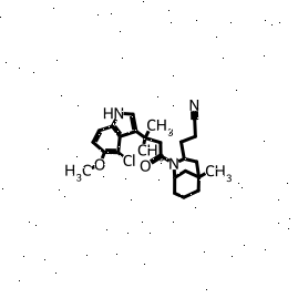 COc1ccc2[nH]cc(C(C)(C)CC(=O)N3C(CCC#N)CC4(C)CCCC3C4)c2c1Cl